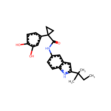 CCC(C)(C)c1cc2cc(NC(=O)C3(c4ccc(O)c(O)c4)CC3)ccc2[nH]1